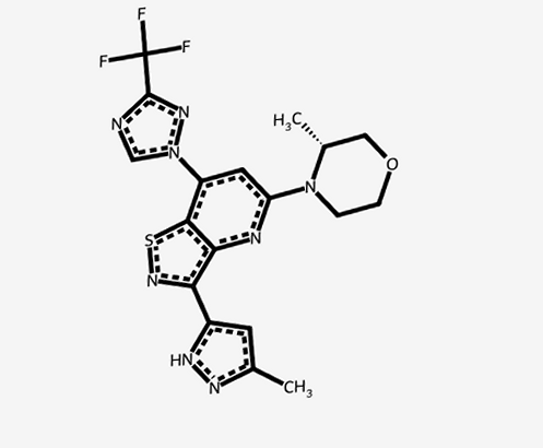 Cc1cc(-c2nsc3c(-n4cnc(C(F)(F)F)n4)cc(N4CCOC[C@H]4C)nc23)[nH]n1